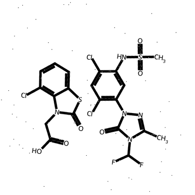 Cc1nn(-c2cc(NS(C)(=O)=O)c(Cl)cc2Cl)c(=O)n1C(F)F.O=C(O)Cn1c(=O)sc2cccc(Cl)c21